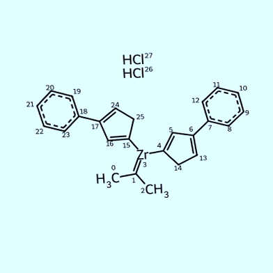 C[C](C)=[Zr]([C]1=CC(c2ccccc2)=CC1)[C]1=CC(c2ccccc2)=CC1.Cl.Cl